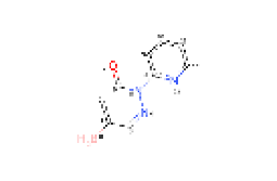 BC(=C)/C=N\N(C=O)c1ccccn1